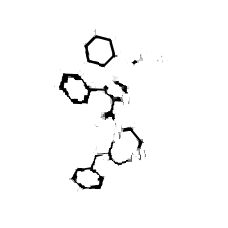 CC(=O)OC[C@H]1CCCC[C@H]1n1cnc(C(=O)N2CCNC[C@H]2Cc2ccccc2)c1-c1ccccc1